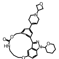 O=C1NCCCOc2ccc3c(c2)c(nn3C2CCCCO2)-c2cc(cc(C3=CCN(C4COC4)CC3)c2)CO1